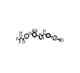 N#Cc1cc(-c2ccnc(Nc3ccc(N4CCN(C5COC5)CC4)cc3)n2)ccc1OC1CCN(C(=O)[C@H](O)C(F)F)CC1